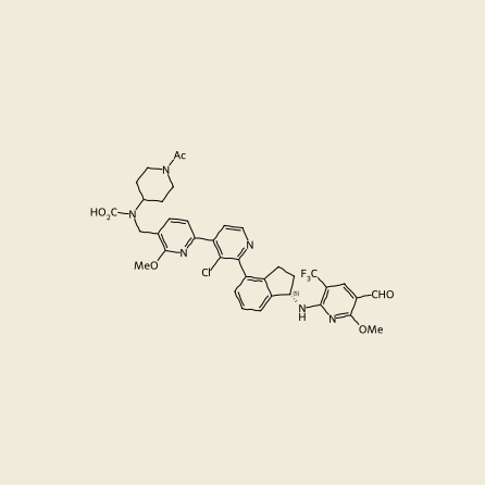 COc1nc(N[C@H]2CCc3c(-c4nccc(-c5ccc(CN(C(=O)O)C6CCN(C(C)=O)CC6)c(OC)n5)c4Cl)cccc32)c(C(F)(F)F)cc1C=O